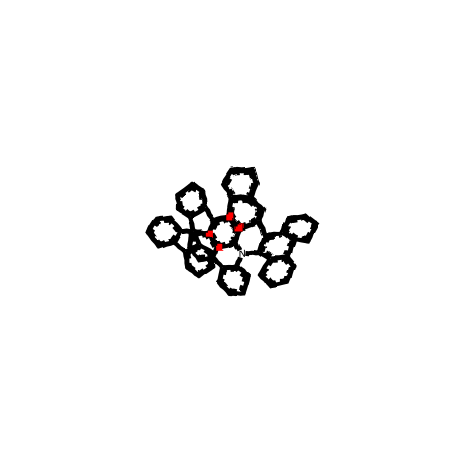 c1ccc(-c2ccccc2N(c2ccc3c(c2)C2(c4ccccc4-c4ccccc42)c2ccccc2-3)c2c(-c3ccc4ccccc4c3)c3ccccc3c3ccccc23)cc1